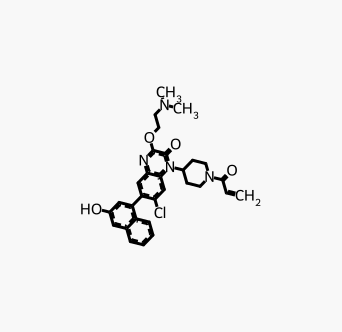 C=CC(=O)N1CCC(n2c(=O)c(OCCN(C)C)nc3cc(-c4cc(O)cc5ccccc45)c(Cl)cc32)CC1